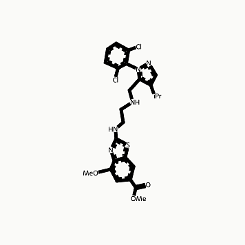 COC(=O)c1cc(OC)c2nc(NCCNCc3c(C(C)C)cnn3-c3c(Cl)cccc3Cl)sc2c1